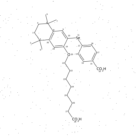 CC1(C)CCC(C)(C)c2cc([Se]c3ccc(C(=O)O)cc3)c(OCCCCCCCC(=O)O)cc21